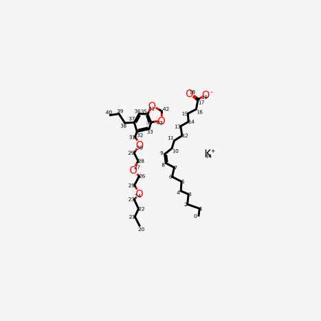 CCCCCCCC/C=C\CCCCCCCC(=O)[O-].CCCCOCCOCCOCc1cc2c(cc1CCC)OCO2.[K+]